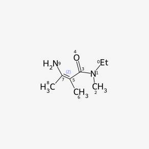 CCN(C)C(=O)/C(C)=C(/C)N